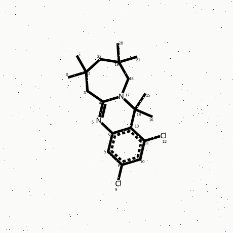 CC1(C)CC2=Nc3cc(Cl)cc(Cl)c3C(C)(C)N2CC(C)(C)C1